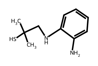 CC(C)(S)CNc1ccccc1N